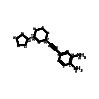 Nc1ccc(C#C[C@@H]2CCC[C@@H](C3CCCC3)C2)cc1N